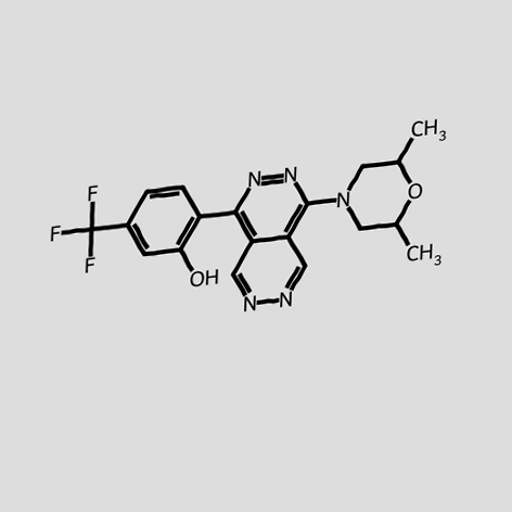 CC1CN(c2nnc(-c3ccc(C(F)(F)F)cc3O)c3cnncc23)CC(C)O1